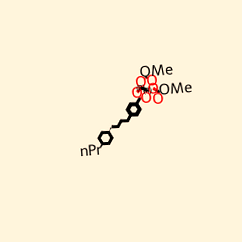 CCC[C@H]1CC[C@H](CCCCc2ccc(C3O[C@H](OC(=O)OC)[C@@H](OC(=O)OC)O3)cc2)CC1